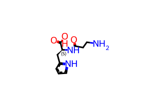 NCCC(=O)N[C@@H](Cc1ccc[nH]1)C(=O)O